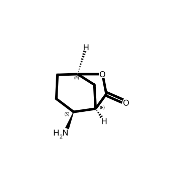 N[C@H]1CC[C@@H]2C[C@H]1C(=O)O2